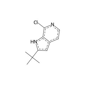 CC(C)(C)c1cc2ccnc(Cl)c2[nH]1